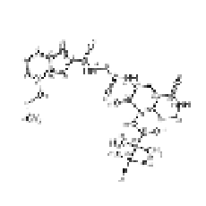 CCOc1cccc2[nH]c(C(=O)NCC(=O)NC(C[C@@H]3CCCNC3=O)C(=O)COC(=O)C(C)(C)C(F)(F)F)cc12